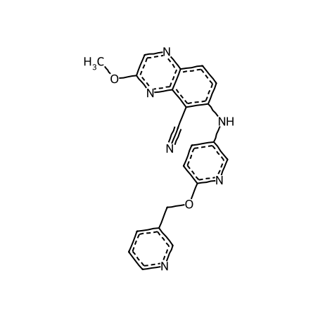 COc1cnc2ccc(Nc3ccc(OCc4cccnc4)nc3)c(C#N)c2n1